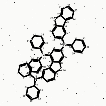 C1=CCCC(N(c2ccc3sc4cc(N(c5ccc6sc7ccccc7c6c5)C5C=CC=CC5)cc(N(C5=CCCC=C5)c5ccccc5)c4c3c2)C2C=CC=CC2)=C1